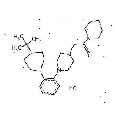 CC(C)(C)C1CCC(c2ccccc2N2CCN(CC(=O)N3CCCCC3)CC2)CC1.Cl